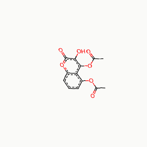 CC(=O)Oc1cccc2oc(=O)c(O)c(OC(C)=O)c12